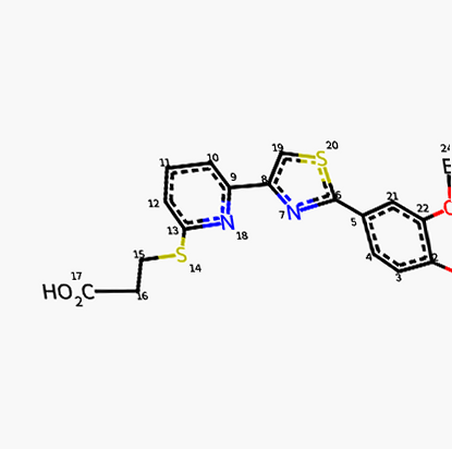 CCOc1ccc(-c2nc(-c3cccc(SCCC(=O)O)n3)cs2)cc1OCC